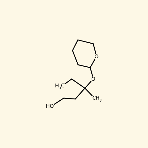 CCC(C)(CCO)OC1CCCCO1